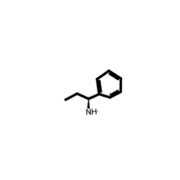 CC[C@H]([NH])c1ccccc1